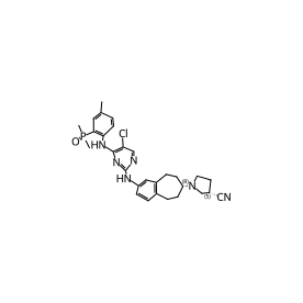 Cc1ccc(Nc2nc(Nc3ccc4c(c3)CC[C@H](N3CC[C@H](C#N)C3)CC4)ncc2Cl)c(P(C)(C)=O)c1